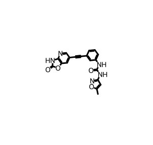 Cc1cc(NC(=O)Nc2cccc(C#Cc3cnc4[nH]c(=O)oc4c3)c2)no1